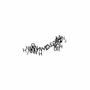 Nc1nc2ncc(CNCCN3CCC(SCC4OC(n5cnc6c(N)ncnc65)C(O)C4O)CC3)nc2c(=O)[nH]1